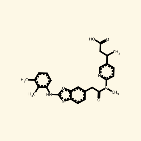 Cc1cccc(Nc2nc3ccc(CC(=O)N(C)c4ccc(C(C)CC(=O)O)cn4)cc3o2)c1C